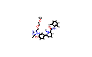 CCOCCOCCNC(C)(N=N)Oc1ccc(C2CCCC(C(=O)Nc3c(C)cccc3C)N2C)cc1